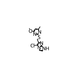 COc1cc(C)nc(SCc2nc3[nH]ccn3c2Cl)n1